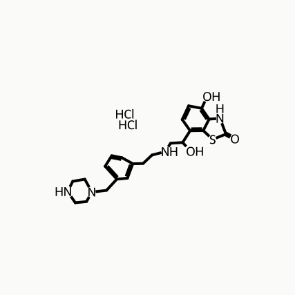 Cl.Cl.O=c1[nH]c2c(O)ccc(C(O)CNCCc3cccc(CN4CCNCC4)c3)c2s1